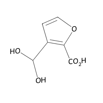 O=C(O)c1occc1C(O)O